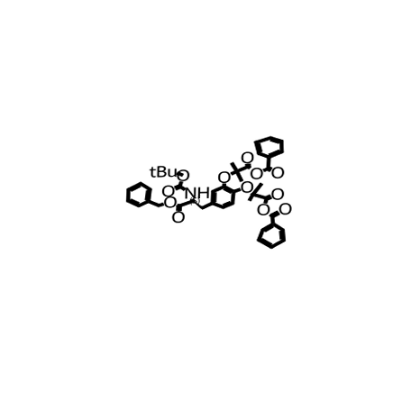 CC(C)(C)OC(=O)N[C@@H](Cc1ccc(OC(C)(C)C(=O)OC(=O)c2ccccc2)c(OC(C)(C)C(=O)OC(=O)c2ccccc2)c1)C(=O)OCc1ccccc1